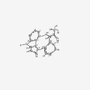 CC1c2cccc3c2-c2c(nnn21)-c1ccccc1N(C(=O)C(C)(C)C)C3